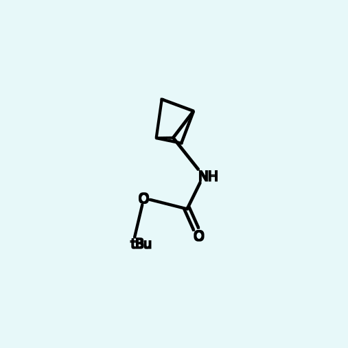 CC(C)(C)OC(=O)NC1C2CC1C2